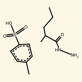 CCCC(C)C(=O)NN.Cc1ccc(S(=O)(=O)O)cc1